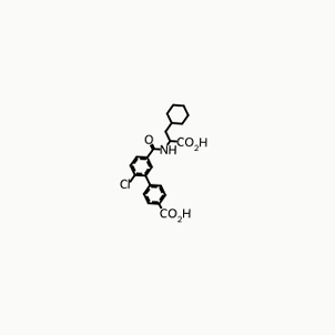 O=C(O)c1ccc(-c2cc(C(=O)NC(CC3CCCCC3)C(=O)O)ccc2Cl)cc1